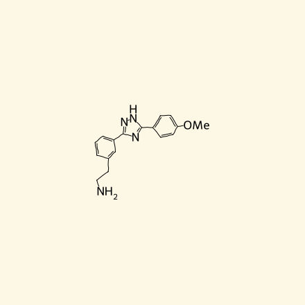 COc1ccc(-c2nc(-c3cccc(CCN)c3)n[nH]2)cc1